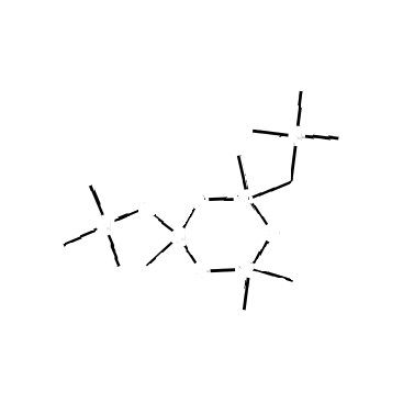 C[Si](C)(C)C[Si]1(C)O[Si](C)(C)O[Si](C)(O[Si](C)(C)C)O1